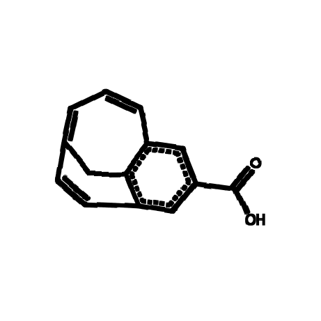 O=C(O)c1cc2c3c(c1)C=CC(=CC=C2)C3